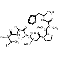 CC[C@H](C)[C@@H]([C@@H](CC(=O)N1CCC[C@H]1[C@H](OC)[C@@H](C)C(=O)NC(Cc1ccccc1)C(=O)O)OC)N(C)C(=O)[C@@H](NC(=O)[C@H](C(C)C)N(C)CC)C(C)C